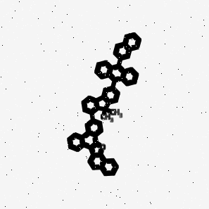 CC1(C)c2ccc(-c3c4ccccc4c(-c4ccc5ccccc5c4)c4ccccc34)cc2-c2cccc(-c3ccc4c(c3)c3ccccc3c3c5ccc6ccccc6c5oc43)c21